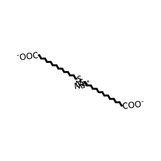 O=C([O-])CCCCCCCCCCCCCCSSCCCCCCCCCCCCCCC(=O)[O-].[Na+].[Na+]